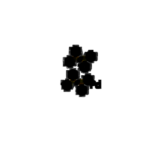 [Pd].c1ccc(P(CCP(c2ccccc2)c2ccccc2)c2ccccc2)cc1.c1ccc(P(CCP(c2ccccc2)c2ccccc2)c2ccccc2)cc1